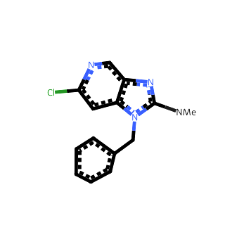 CNc1nc2cnc(Cl)cc2n1Cc1ccccc1